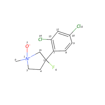 C[N+]1([O-])CCC(F)(c2ccc(Cl)cc2Cl)C1